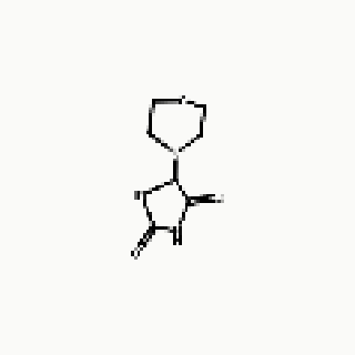 O=C1NC(=O)C(N2CCCCC2)N1